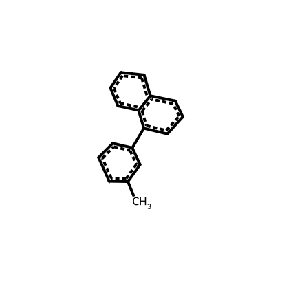 Cc1[c]ccc(-c2cccc3ccccc23)c1